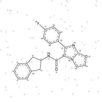 O=C(NC1Cc2ccccc2C1)c1c(-c2ccc(F)cc2)nc2occn12